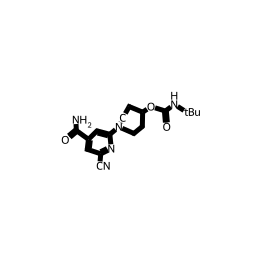 CC(C)(C)NC(=O)OC1CCN(c2cc(C(N)=O)cc(C#N)n2)CC1